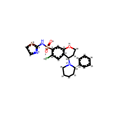 O=S(=O)(Nc1nccs1)c1cc2c(cc1F)[C@H](N1CCCC[C@H]1c1ccccc1)CCO2